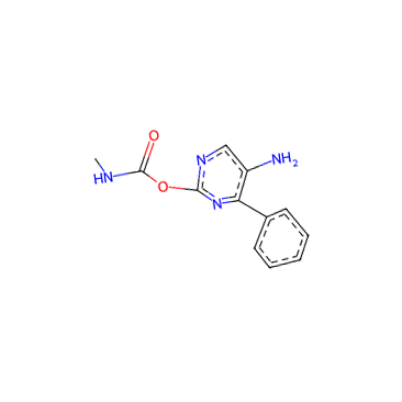 CNC(=O)Oc1ncc(N)c(-c2ccccc2)n1